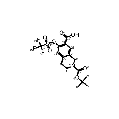 CC(C)(C)OC(=O)N1CCc2cc(OS(=O)(=O)C(F)(F)F)c(C(=O)O)cc2C1